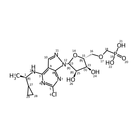 C[C@@H](Nc1nc(Cl)nc2c1cnn2[C@@H]1O[C@H](COCP(=O)(O)O)[C@@H](O)[C@H]1O)C1CC1